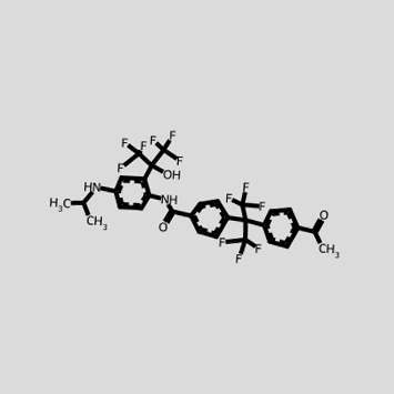 CC(=O)c1ccc(C(c2ccc(C(=O)Nc3ccc(NC(C)C)cc3C(O)(C(F)(F)F)C(F)(F)F)cc2)(C(F)(F)F)C(F)(F)F)cc1